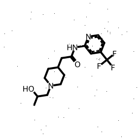 CC(O)CN1CCC(CC(=O)Nc2cc(C(F)(F)F)ccn2)CC1